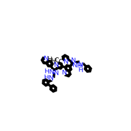 Cc1cccc(-c2nc(CNCc3ccccc3)[nH]c2-c2cc(-c3cc(C)nc(-c4nc(CNCc5ccccc5-c5ccccc5)[nH]c4-c4ccc5ncccc5c4)c3)c3ncccc3c2)n1